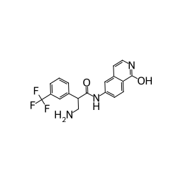 NCC(C(=O)Nc1ccc2c(O)nccc2c1)c1cccc(C(F)(F)F)c1